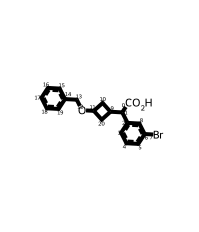 O=C(O)C(c1cccc(Br)c1)C1CC(OCc2ccccc2)C1